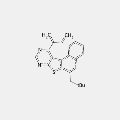 C=CC(=C)c1ncnc2sc3c(CC(C)(C)C)cc4ccccc4c3c12